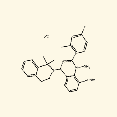 COc1cccc2c1N(N)C(c1ccc(F)cc1C)=NC2N1CCc2ccccc2C1(C)C.Cl